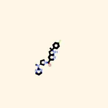 CN(c1ncccn1)[C@H]1CCN(C(=O)c2cnc3c(c2)CC(C)(c2ccc(F)cc2)N3)C1